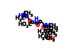 C=C(C)[C@@H]1CC[C@]2(C(=O)NCCc3cccc(C(=O)NCc4ccc(OCCCN5CC(C)NC(C)C5)c(C(=O)O)c4)c3)CC[C@]3(C)C(CCC4[C@@]5(C)CC[C@H](O)C(C)(C)C5CC[C@]43C)C12